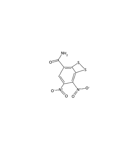 NC(=O)c1cc([N+](=O)[O-])c([N+](=O)[O-])c2ssc12